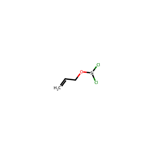 C=CCO[Si](Cl)Cl